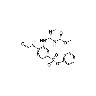 C/N=C(\NC(=O)OC)Nc1cc(S(=O)(=O)Oc2ccccc2)ccc1NC=O